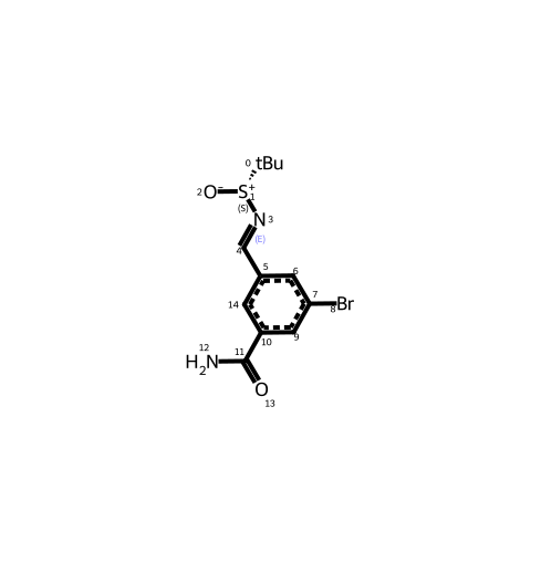 CC(C)(C)[S@@+]([O-])/N=C/c1cc(Br)cc(C(N)=O)c1